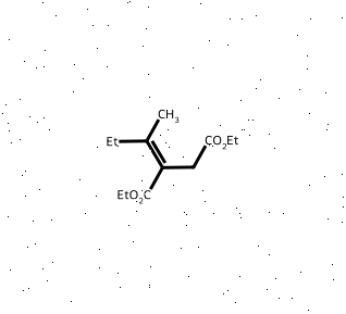 CCOC(=O)CC(C(=O)OCC)=C(C)CC